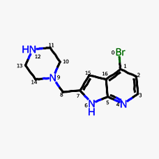 Brc1ccnc2[nH]c(CN3CCNCC3)cc12